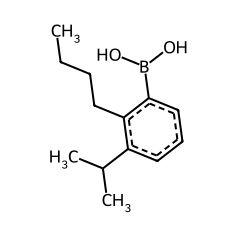 CCCCc1c(B(O)O)cccc1C(C)C